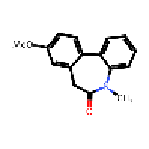 COc1ccc2c(c1)CC(=O)N(C)c1ccccc1-2